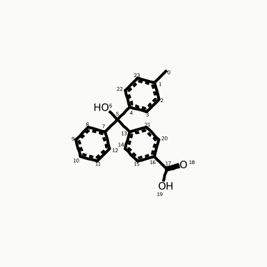 Cc1ccc(C(O)(c2ccccc2)c2ccc(C(=O)O)cc2)cc1